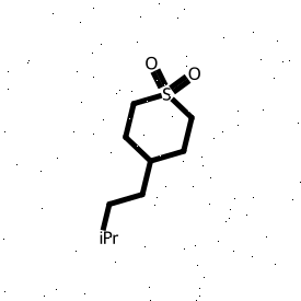 CC(C)CCC1CCS(=O)(=O)CC1